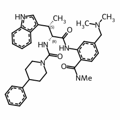 CNC(=O)c1ccc(CN(C)C)cc1NC(=O)[C@H](NC(=O)N1CCC(c2ccccc2)CC1)[C@@H](C)c1c[nH]c2ccccc12